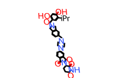 CC(C)c1cc(C(=O)N2Cc3ccc(CN4CCN(c5ccc6c(c5)C(=O)N(C5CCC(=O)NC5=O)C6=O)CC4)cc3C2)c(O)cc1O